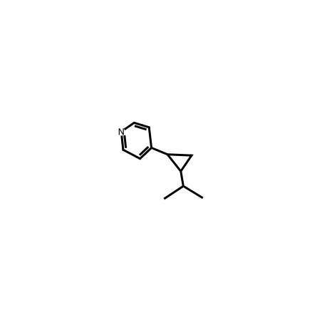 CC(C)C1CC1c1ccncc1